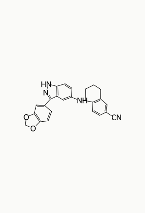 N#Cc1ccc2c(c1)CCCC2Nc1ccc2[nH]nc(-c3ccc4c(c3)OCO4)c2c1